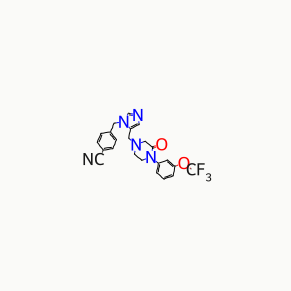 N#Cc1ccc(Cn2cncc2CN2CCN(c3cccc(OC(F)(F)F)c3)C(=O)C2)cc1